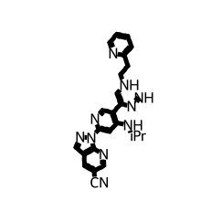 CC(C)Nc1cc(-n2ncc3cc(C#N)cnc32)ncc1/C(=C/NCCc1ccccn1)N=N